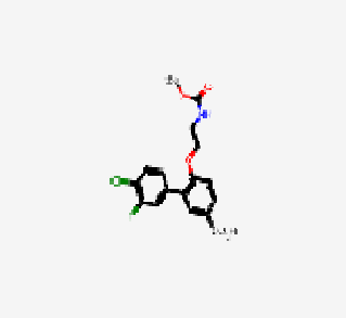 CC(C)(C)OC(=O)NCCOc1ccc(C(=O)O)cc1-c1ccc(Cl)c(F)c1